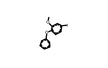 COc1cc(I)ccc1Oc1ccccc1